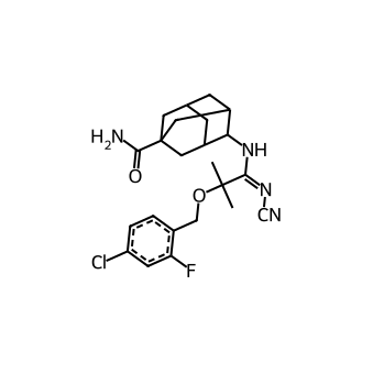 CC(C)(OCc1ccc(Cl)cc1F)/C(=N\C#N)NC1C2CC3CC1CC(C(N)=O)(C3)C2